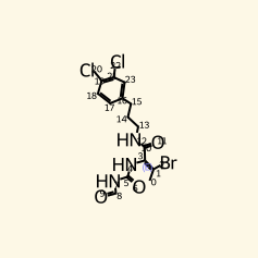 C/C(Br)=C(\NC(=O)NC=O)C(=O)NCCCc1ccc(Cl)c(Cl)c1